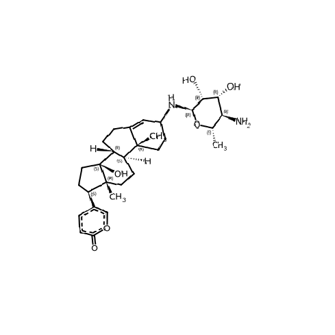 C[C@@H]1O[C@@H](NC2C=C3CC[C@@H]4[C@H](CC[C@]5(C)[C@@H](c6ccc(=O)oc6)CC[C@]45O)[C@@]3(C)CC2)[C@H](O)[C@H](O)[C@H]1N